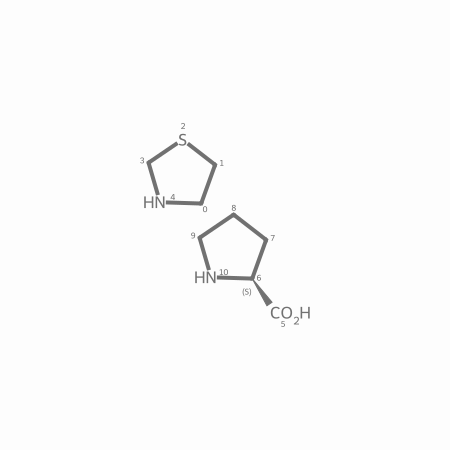 C1CSCN1.O=C(O)[C@@H]1CCCN1